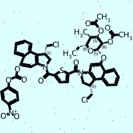 CC[C@H]1O[C@@H](Oc2cc3c(c4ccccc24)[C@H](CCl)CN3C(=O)c2ccc(C(=O)N3C[C@@H](CCl)c4c3cc(OC(=O)Oc3ccc([N+](=O)[O-])cc3)c3ccccc43)s2)[C@H](OC(C)=O)[C@@H](OC(C)=O)[C@H]1C